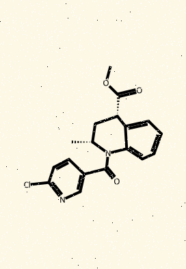 COC(=O)[C@H]1C[C@@H](C)N(C(=O)c2ccc(Cl)nc2)c2ccccc21